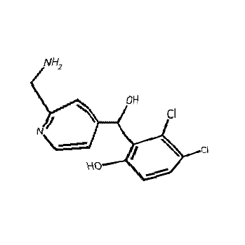 NCc1cc(C(O)c2c(O)ccc(Cl)c2Cl)ccn1